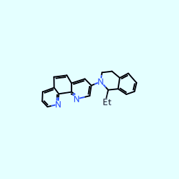 CCC1c2ccccc2CCN1c1cnc2c(ccc3cccnc32)c1